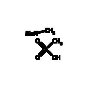 CNC.CS(=O)(=O)O